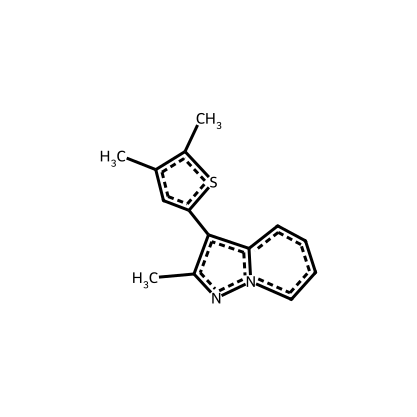 Cc1cc(-c2c(C)nn3ccccc23)sc1C